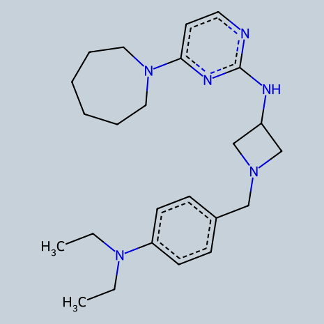 CCN(CC)c1ccc(CN2CC(Nc3nccc(N4CCCCCC4)n3)C2)cc1